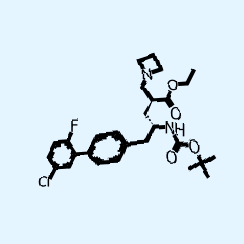 CCOC(=O)[C@@H](C[C@@H](Cc1ccc(-c2cc(Cl)ccc2F)cc1)NC(=O)OC(C)(C)C)CN1CCC1